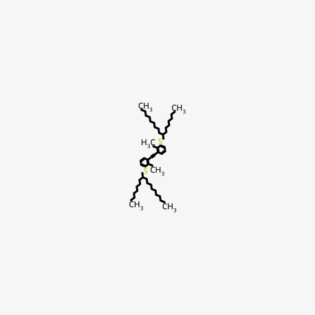 CCCCCCCCCCC(CCCCCCCC)CSc1cccc(C#Cc2cccc(SCC(CCCCCCCC)CCCCCCCCCC)c2CC)c1CC